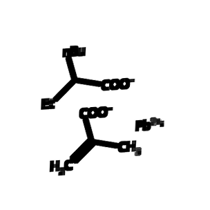 C=C(C)C(=O)[O-].CCCCC(CC)C(=O)[O-].[Pb+2]